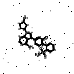 Nc1ncnc2c1c(-c1ccc(-c3ccccc3S(N)(=O)=O)c(Cl)c1)cn2C1CCC(O)C1